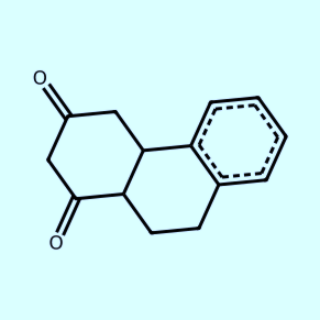 O=C1CC(=O)C2CCc3ccccc3C2C1